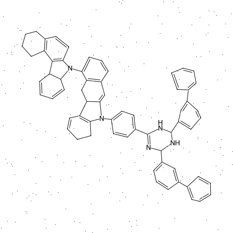 C1=CC2c3c(ccc4c3CCCC4)N(c3cccc4c3CC3C(=C4)N(c4ccc(C5=NC(c6cccc(-c7ccccc7)c6)NC(c6cccc(-c7ccccc7)c6)N5)cc4)C4=C3C=CCC4)C2C=C1